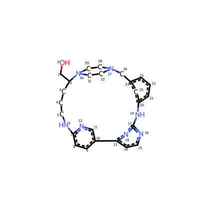 OCC1CCCNc2ccc(cn2)-c2ccnc(n2)Nc2cccc(c2)CN2CCN1CC2